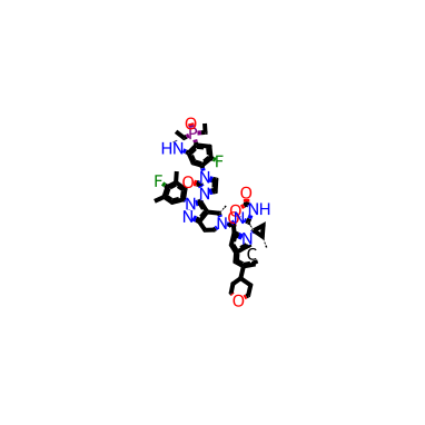 CCP(=O)(CC)c1cc(F)c(-n2ccn(-c3c4c(nn3-c3cc(C)c(F)c(C)c3)CCN(C(=O)c3cc5cc(C6CCOCC6)ccc5n3[C@@]3(C5NC(=O)ON5C)C[C@@H]3C)[C@H]4C)c2=O)cc1NC